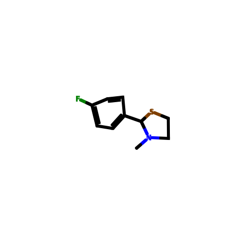 CN1CCSC1c1ccc(F)cc1